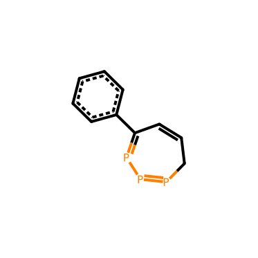 C1=CC(c2ccccc2)=PP=PC1